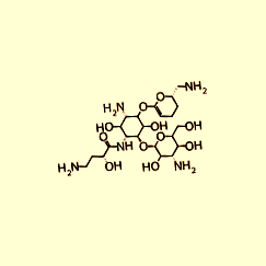 NCC[C@@H](O)C(=O)N[C@@H]1C(O)[C@H](N)C(OC2=CCC[C@@H](CN)O2)C(O)[C@H]1O[C@H]1OC(CO)[C@@H](O)[C@H](N)C1O